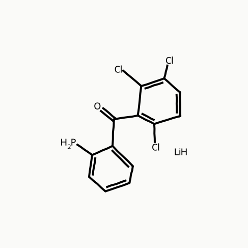 O=C(c1ccccc1P)c1c(Cl)ccc(Cl)c1Cl.[LiH]